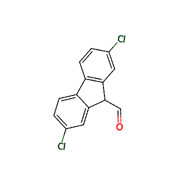 O=CC1c2cc(Cl)ccc2-c2ccc(Cl)cc21